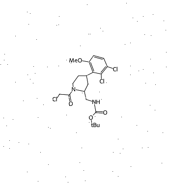 COc1ccc(Cl)c(Cl)c1C1CCN(C(=O)CCl)C(CNC(=O)OC(C)(C)C)C1